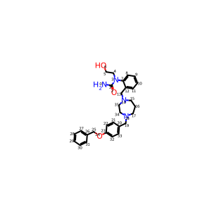 NC(=O)N(CCO)c1ccccc1CN1CCCN(Cc2ccc(OCc3ccccc3)cc2)CC1